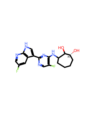 OC1C(Nc2nc(-c3c[nH]c4ncc(F)cc34)ncc2F)CCCC[C@H]1O